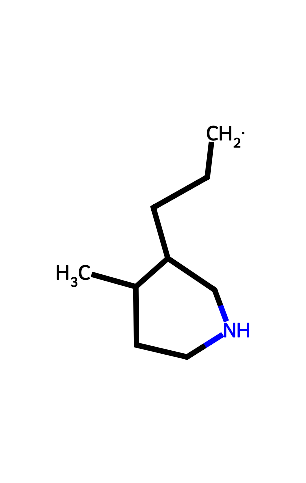 [CH2]CCC1CNCCC1C